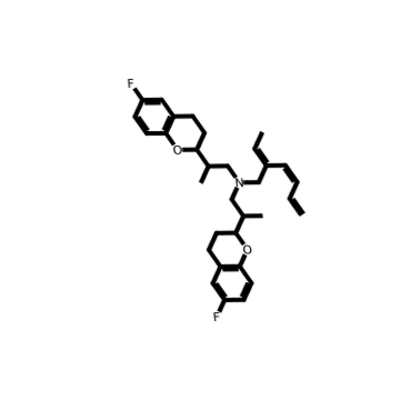 C=C/C=C\C(=CC)CN(CC(C)C1CCc2cc(F)ccc2O1)CC(C)C1CCc2cc(F)ccc2O1